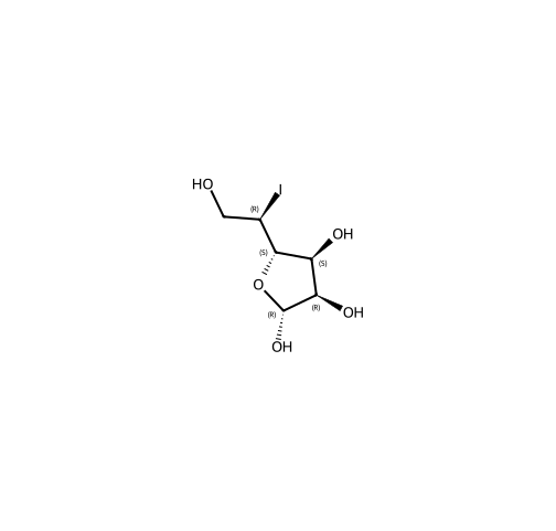 OC[C@@H](I)[C@H]1O[C@@H](O)[C@H](O)[C@@H]1O